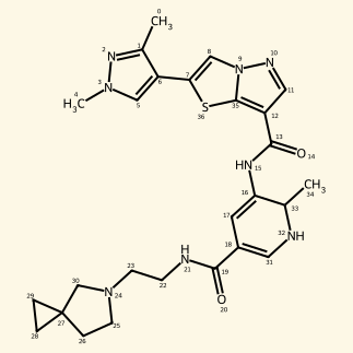 Cc1nn(C)cc1-c1cn2ncc(C(=O)NC3=CC(C(=O)NCCN4CCC5(CC5)C4)=CNC3C)c2s1